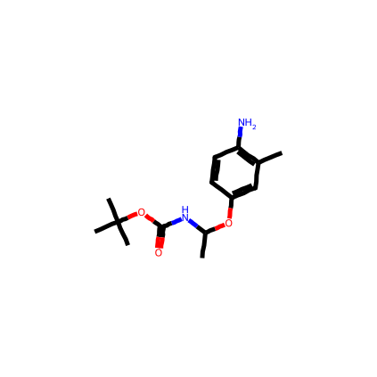 Cc1cc(OC(C)NC(=O)OC(C)(C)C)ccc1N